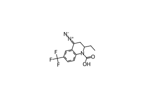 CCC1CC(=[N+]=[N-])c2cc(C(F)(F)F)ccc2N1C(=O)O